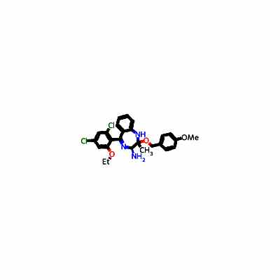 CCOc1cc(Cl)cc(Cl)c1C1=N[C@H](N)C(C)(OCc2ccc(OC)cc2)Nc2ccccc21